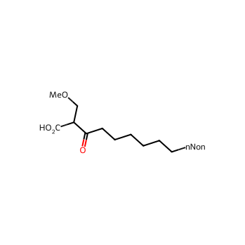 CCCCCCCCCCCCCCCC(=O)C(COC)C(=O)O